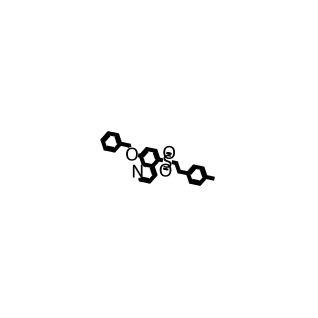 Cc1ccc(CCS(=O)(=O)c2ccc(OCc3ccccc3)c3ncccc23)cc1